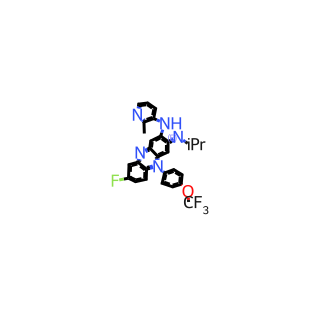 Cc1ncccc1Nc1cc2nc3cc(F)ccc3n(-c3ccc(OC(F)(F)F)cc3)c-2c/c1=N\C(C)C